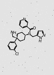 NC[C@]1(c2cccc(Cl)c2)CC[C@H](N(Cc2ccn[nH]2)C(=O)c2cccnc2)CC1